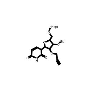 C#CCOC1C(OC(C)CC)C(COCCCCCCC)OC1C1C=CC(=O)NC1=O